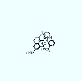 CCCCCCc1cc2c(c(C(=O)N[C@H](C)c3ccccc3)c1)[C@H]1C[C@H]3NCCC[C@H]3CN1CC2